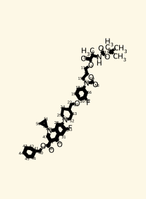 CC(NC(=O)OC(C)(C)C)C(=O)OCC1CN(c2ccc(OCC3CCN(c4cc5c(cc4F)c(=O)c(C(=O)OCc4ccccc4)cn5C4CC4)CC3)c(F)c2)C(=O)O1